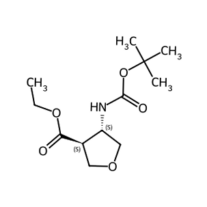 CCOC(=O)[C@@H]1COC[C@H]1NC(=O)OC(C)(C)C